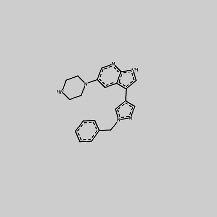 c1ccc(Cn2cc(-c3c[nH]c4ncc(N5CCNCC5)cc34)cn2)cc1